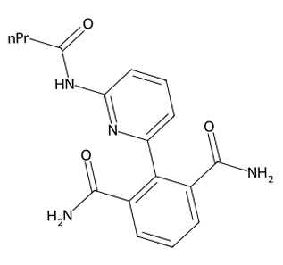 CCCC(=O)Nc1cccc(-c2c(C(N)=O)cccc2C(N)=O)n1